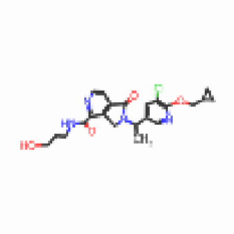 CC(c1cnc(OCC2CC2)c(Cl)c1)N1Cc2c(ccnc2C(=O)NCCCO)C1=O